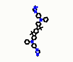 CN1C=CN(c2ccc(N(c3ccccc3)c3ccc4c(c3)C(C)(C)c3cc5c(cc3-4)C(C)(C)c3cc(N(c4ccccc4)c4ccc(-n6cc[n+](C)c6)cc4)ccc3-5)cc2)C1